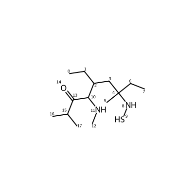 CCC(CC(C)(CC)NS)C(NC)C(=O)C(C)C